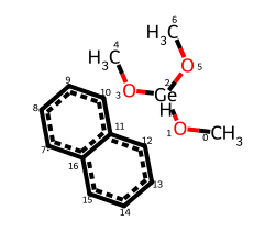 C[O][GeH]([O]C)[O]C.[c]1cccc2ccccc12